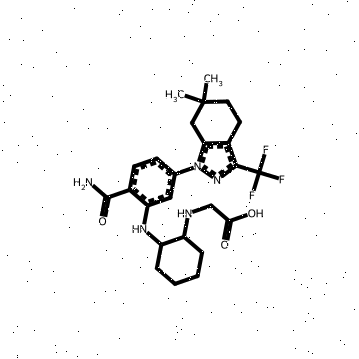 CC1(C)CCc2c(C(F)(F)F)nn(-c3ccc(C(N)=O)c(NC4CCCCC4NCC(=O)O)c3)c2C1